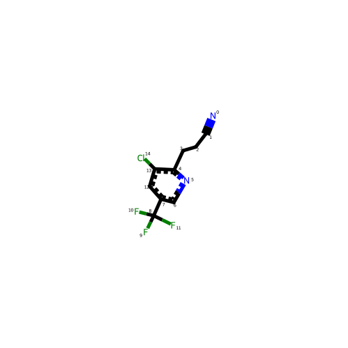 N#CCCc1ncc(C(F)(F)F)cc1Cl